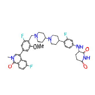 COc1cc(-c2cn(C)c(=O)c3ccc(F)cc23)cc(F)c1CN1CCC(N2CCC(c3ccc(NC4CCC(=O)NC4=O)cc3F)CC2)CC1